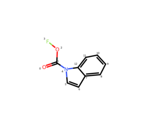 O=C(OF)n1ccc2ccccc21